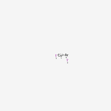 [Ar].[Cu+2].[I-].[I-]